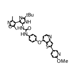 COc1ccc(-c2cc3nccc(Oc4ccc(NC(=O)Nc5[nH]c(C(C)(C)C)nc5-c5c(C)noc5C)cc4)c3s2)cn1